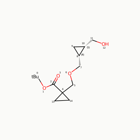 CC(C)(C)OC(=O)C1(COC[C@@H]2C[C@@H]2CO)CC1